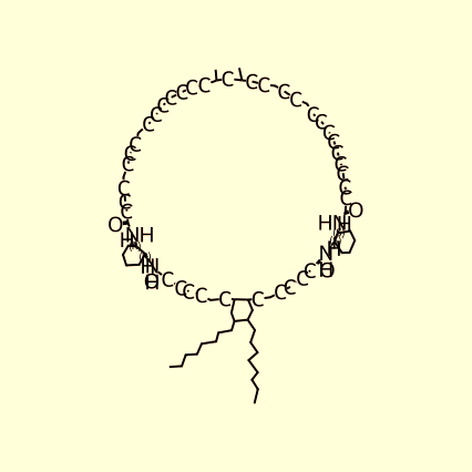 CCCCCCCCC1CC2CCCCCCC(=O)N[C@H]3CCCC[C@@H]3NC(=O)CCCCCCCCCCCCCCCC(C)CC(C)CCCCCCCCCCCCCCCC(=O)N[C@@H]3CCCC[C@H]3NC(=O)CCCCCCC2CC1CCCCCCCC